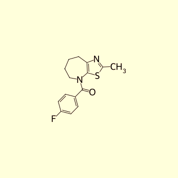 Cc1nc2c(s1)N(C(=O)c1ccc(F)cc1)CCCC2